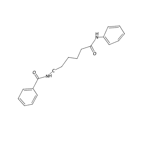 O=C(CCCCCNC(=O)c1ccccc1)Nc1ccccc1